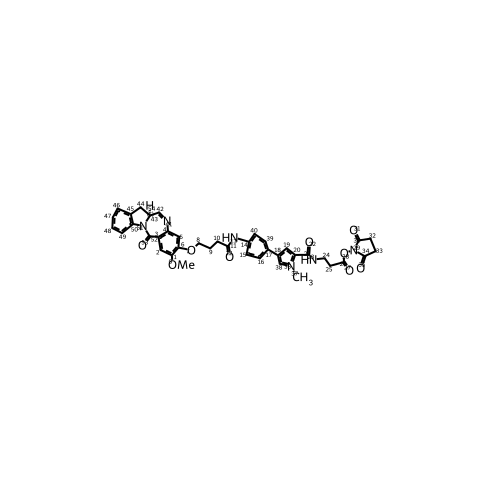 COc1cc2c(cc1OCCCC(=O)Nc1ccc(-c3cc(C(=O)NCCC(=O)ON4C(=O)CCC4=O)n(C)c3)cc1)N=C[C@@H]1Cc3ccccc3N1C2=O